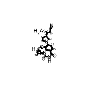 COc1c(N2CCC(C([AsH2])CC#N)C2)ccc2c(=O)[nH]c(=O)n(C3CC3)c12